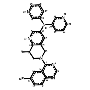 CC1CN(c2ncnc3ccc(F)cc23)Cc2cc(N(c3cccnc3)c3cccnc3)cnc21